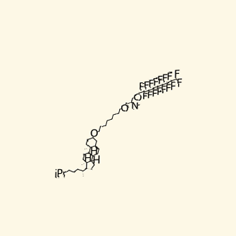 CC(C)CCC[C@@H](C)[C@H]1CC[C@H]2[C@@H]3CC=C4CC(OCCCCCCCCOC[C@@H](COCC(F)(F)C(F)(F)C(F)(F)C(F)(F)C(F)(F)C(F)(F)C(F)(F)C(F)F)N(C)C)CC[C@]4(C)[C@H]3CC[C@]12C